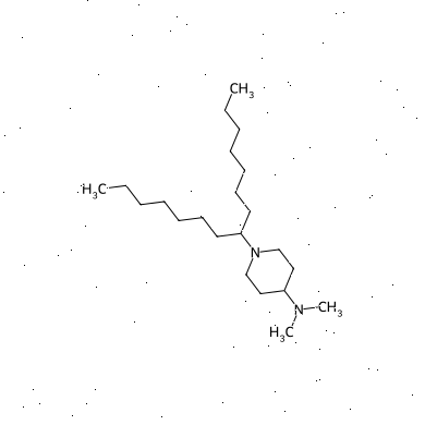 CCCCCCCC(CCCCCCC)N1CCC(N(C)C)CC1